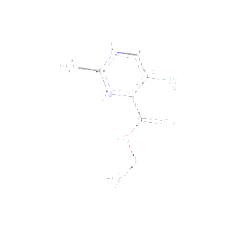 CCOC(=S)c1nc(C)ncc1Br